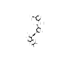 Cc1nc2cnc(N)c(C#Cc3cncc(C(=O)Nc4cncc(C(F)(F)F)c4)c3)c2nc1C